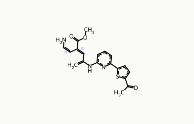 C=C(/C=C(\C=C/N)C(=O)OC)Nc1cccc(-c2ccc(C(C)=O)s2)n1